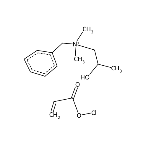 C=CC(=O)OCl.CC(O)C[N+](C)(C)Cc1ccccc1